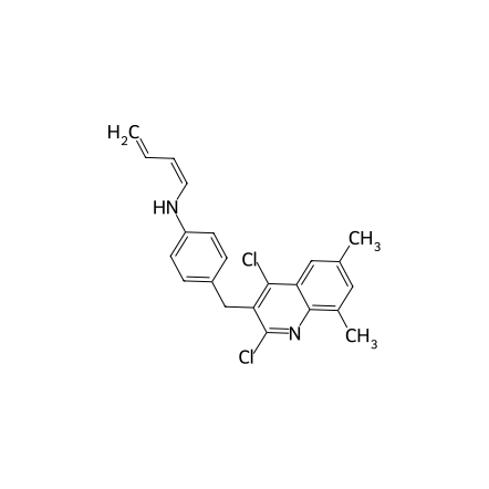 C=C/C=C\Nc1ccc(Cc2c(Cl)nc3c(C)cc(C)cc3c2Cl)cc1